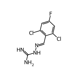 N=C(N)NN=Cc1c(Cl)cc(F)cc1Cl